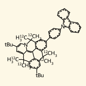 CC(C)(C)C1=CN2C3=C4c5c(cc(C(C)(C)C)cc5C([12CH3])([12CH3])c5cc(-c6ccc(-n7c8ccccc8c8ccccc87)cc6)cc(c54)C2([12CH3])[12CH3])C([12CH3])([12CH3])C3=C1